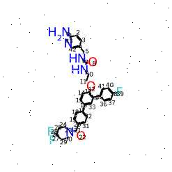 Nc1ccc(CNC(=O)NCCOc2ccc(-c3ccc(C(=O)N4CCC(F)(F)CC4)cc3)cc2-c2ccc(F)cc2)cn1